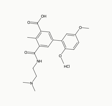 COc1ccc(OC)c(-c2cc(C(=O)O)c(C)c(C(=O)NCCN(C)C)c2)c1.Cl